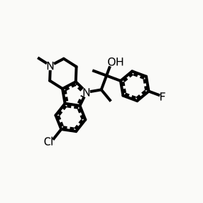 CC(n1c2c(c3cc(Cl)ccc31)CN(C)CC2)C(C)(O)c1ccc(F)cc1